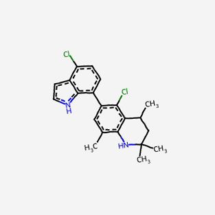 Cc1cc(-c2ccc(Cl)c3cc[nH]c23)c(Cl)c2c1NC(C)(C)CC2C